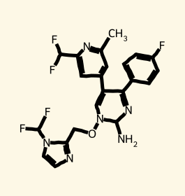 Cc1cc(C2=CN(OCc3nccn3C(F)F)C(N)N=C2c2ccc(F)cc2)cc(C(F)F)n1